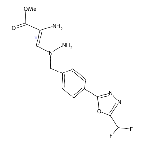 COC(=O)/C(N)=C/N(N)Cc1ccc(-c2nnc(C(F)F)o2)cc1